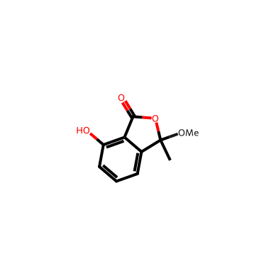 COC1(C)OC(=O)c2c(O)cccc21